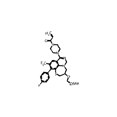 C=CC(=O)N1CCN(C2=NCN3CC(OCOC)CSc4c(-c5ccc(F)cc5)c(C(F)(F)F)cc2c43)CC1